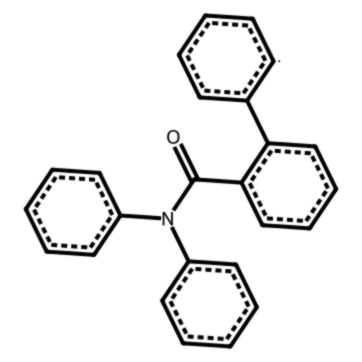 O=C(c1ccccc1-c1[c]cccc1)N(c1ccccc1)c1ccccc1